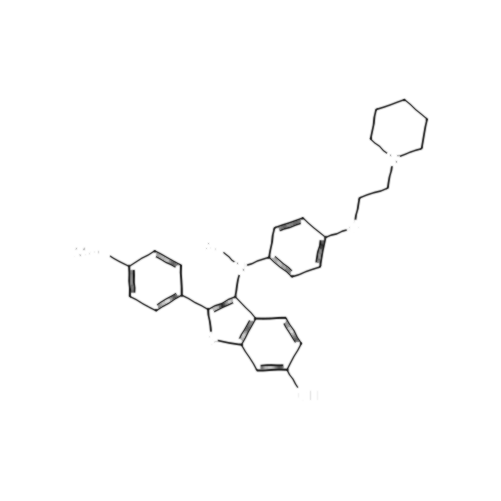 COc1ccc(-c2sc3cc(O)ccc3c2N(C(C)=O)c2ccc(OCCN3CCCCC3)cc2)cc1